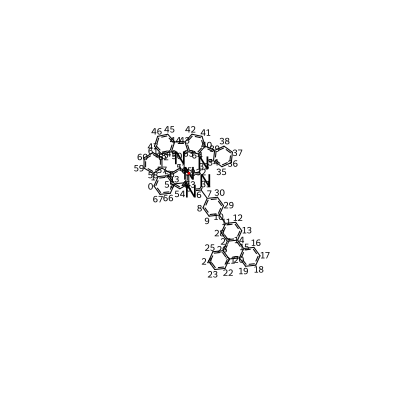 c1ccc(-c2nc(-c3ccc(-c4ccc5c6ccccc6c6ccccc6c5c4)cc3)nc(-n3c4ccccc4c4ccc5c6ccccc6n(-c6ccccc6-c6ccccc6)c5c43)n2)cc1